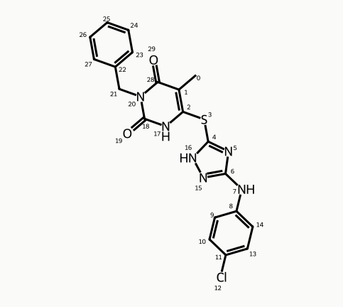 Cc1c(Sc2nc(Nc3ccc(Cl)cc3)n[nH]2)[nH]c(=O)n(Cc2ccccc2)c1=O